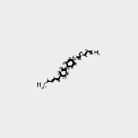 CCCCCc1cnc(-c2ccc(OCOCCC)cc2)nc1